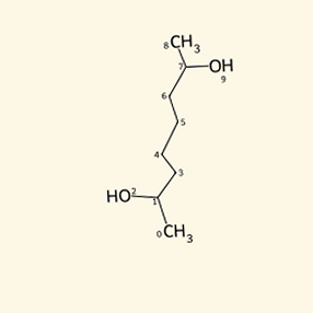 CC(O)CCCCC(C)O